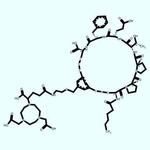 CCCCCC(=O)N[C@H]1CSCc2cc(CSCCNC(=O)CCC(C(=O)O)N3CCN(CC(=O)O)CCN(CC(=O)O)CC3)cc(c2)CSC[C@@H](C(=O)O)NC(=O)[C@H](Cc2ccccc2)NC(=O)[C@H](CCC(=O)O)NC(=O)[C@H]([C@@H](C)O)NC(=O)[C@@H]2CCCN2C(=O)[C@@H]2CCCN2C1=O